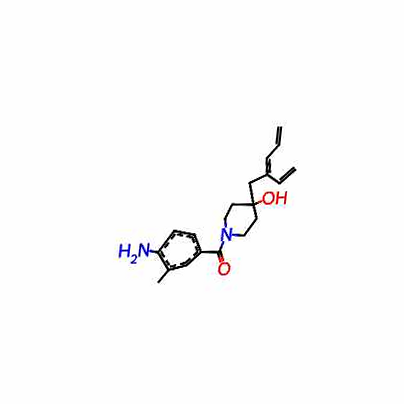 C=C/C=C(\C=C)CC1(O)CCN(C(=O)c2ccc(N)c(C)c2)CC1